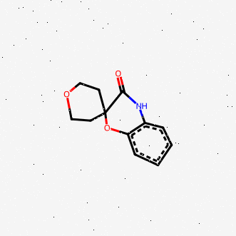 O=C1Nc2ccccc2OC12CCOCC2